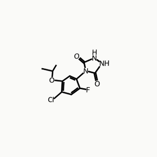 CC(C)Oc1cc(-n2c(=O)[nH][nH]c2=O)c(F)cc1Cl